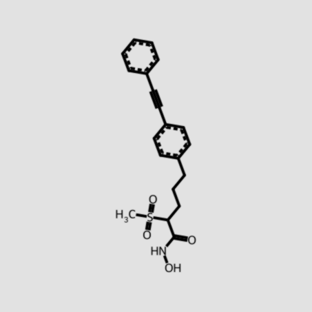 CS(=O)(=O)C(CCCc1ccc(C#Cc2ccccc2)cc1)C(=O)NO